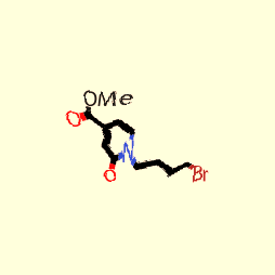 COC(=O)c1ccn(CCCCBr)c(=O)c1